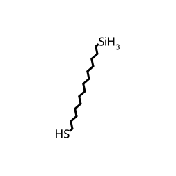 [SiH3]CCCCCCCCCCCCCCS